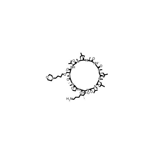 CC[C@@H]1NC(=O)[C@@H]2[C@@H]([C@H](C)CCCCN)ON2C(=O)[C@H](C(C)C)N(C)C(=O)[C@H](CC(C)C)N(C)C(=O)[C@H](CC(C)C)N(C)C(=O)[C@@H](C)NC(=O)[C@H](C)NC(=O)[C@H](CC(C)C)N(C)C(=O)[C@H](C(C)C)NC(=O)[C@H]([C@@H](C)OCCCCN2CCOCC2)N(C)C(=O)[C@@H](C)N(C)C1=O